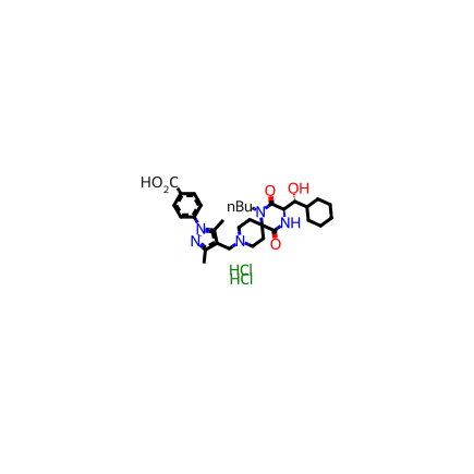 CCCCN1C(=O)[C@@H]([C@H](O)C2CCCCC2)NC(=O)C12CCN(Cc1c(C)nn(-c3ccc(C(=O)O)cc3)c1C)CC2.Cl.Cl